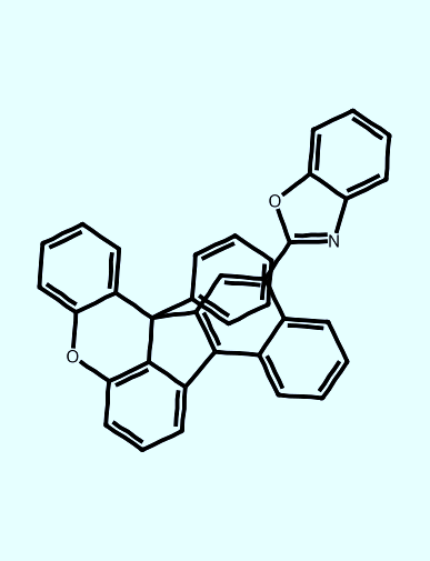 c1ccc(C23c4ccccc4Oc4cccc(c42)-c2c3cc(-c3nc4ccccc4o3)c3ccccc23)cc1